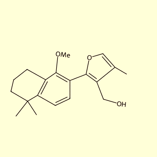 COc1c(-c2occ(C)c2CO)ccc2c1CCCC2(C)C